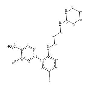 O=C(O)c1ccc(-c2cc(F)ccc2OCCCOC2CCCCO2)cc1F